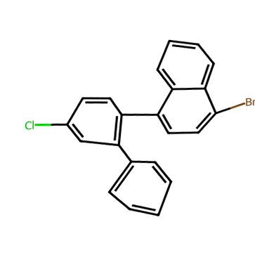 Clc1ccc(-c2ccc(Br)c3ccccc23)c(-c2ccccc2)c1